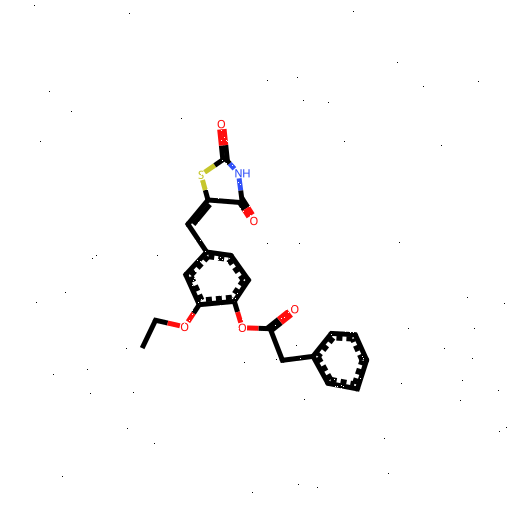 CCOc1cc(C=C2SC(=O)NC2=O)ccc1OC(=O)Cc1ccccc1